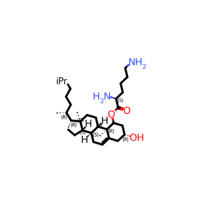 CC(C)CCC[C@@H](C)[C@H]1CC[C@H]2[C@@H]3CC=C4C[C@@H](O)CC(OC(=O)[C@@H](N)CCCCN)[C@]4(C)[C@H]3CC[C@]12C